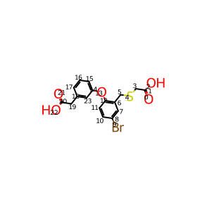 O=C(O)CSCc1cc(Br)ccc1Oc1cccc(CC(=O)O)c1